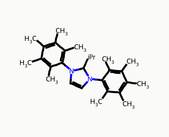 Cc1c(C)c(C)c(N2C=CN(c3c(C)c(C)c(C)c(C)c3C)C2C(C)C)c(C)c1C